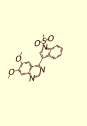 COc1cc2ncnc(-c3cn(S(C)(=O)=O)c4ccccc34)c2cc1OC